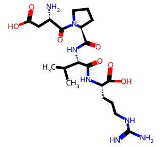 CC(C)[C@H](NC(=O)[C@@H]1CCCN1C(=O)[C@@H](N)CC(=O)O)C(=O)N[C@@H](CCCNC(=N)N)C(=O)O